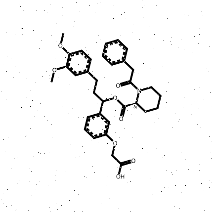 COc1ccc(CCC(OC(=O)[C@@H]2CCCCN2C(=O)Cc2ccccc2)c2cccc(OCC(=O)O)c2)cc1OC